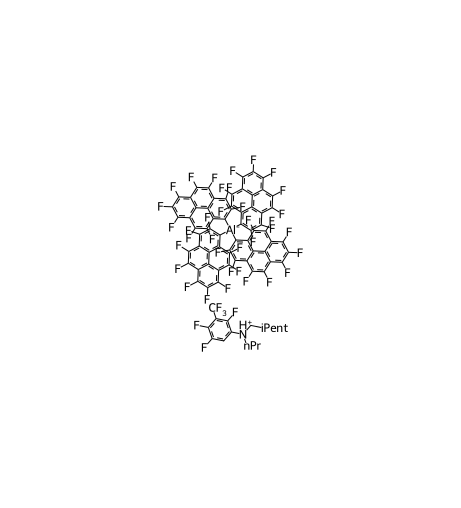 CCCC(C)C[NH+](CCC)c1cc(F)c(F)c(C(F)(F)F)c1F.Fc1c(F)c2c(F)c(F)c3c(F)c(F)[c]([Al-]([c]4c(F)c(F)c5c(F)c(F)c6c(F)c(F)c(F)c7c(F)c(F)c4c5c67)([c]4c(F)c(F)c5c(F)c(F)c6c(F)c(F)c(F)c7c(F)c(F)c4c5c67)[c]4c(F)c(F)c5c(F)c(F)c6c(F)c(F)c(F)c7c(F)c(F)c4c5c67)c4c(F)c(F)c(c1F)c2c34